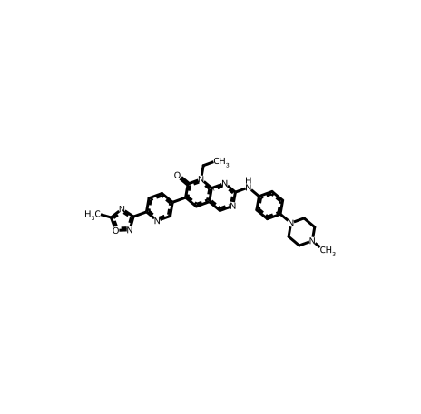 CCn1c(=O)c(-c2ccc(-c3noc(C)n3)nc2)cc2cnc(Nc3ccc(N4CCN(C)CC4)cc3)nc21